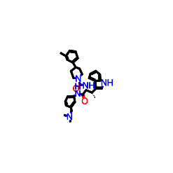 Cc1cccc(C2CCN(C(=O)N[C@@H](C(=O)Nc3cccc(CN(C)C)c3)[C@@H](C)c3c[nH]c4ccccc34)CC2)c1